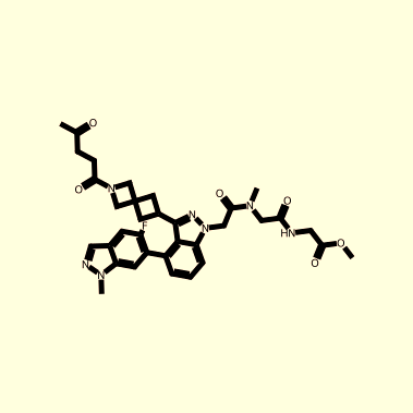 COC(=O)CNC(=O)CN(C)C(=O)Cn1nc(C2CC3(C2)CN(C(=O)CCC(C)=O)C3)c2c(-c3cc4c(cnn4C)cc3F)cccc21